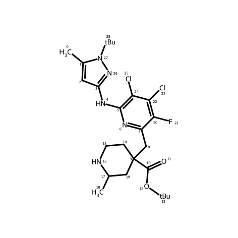 Cc1cc(Nc2nc(CC3(C(=O)OC(C)(C)C)CCNC(C)C3)c(F)c(Cl)c2Cl)nn1C(C)(C)C